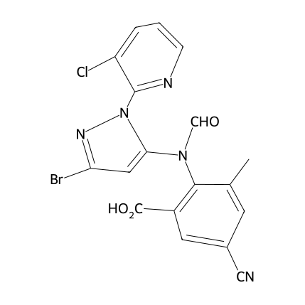 Cc1cc(C#N)cc(C(=O)O)c1N(C=O)c1cc(Br)nn1-c1ncccc1Cl